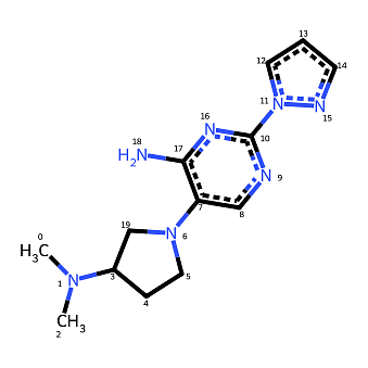 CN(C)C1CCN(c2cnc(-n3cccn3)nc2N)C1